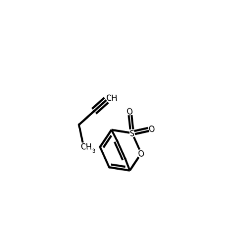 C#CCC.O=S1(=O)Oc2ccc1cc2